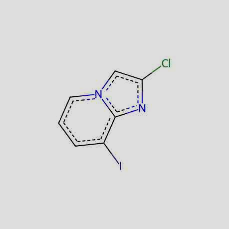 Clc1cn2cccc(I)c2n1